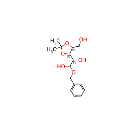 CC1(C)O[C@H]([C@H](O)C(O)OCc2ccccc2)[C@H](CO)O1